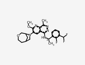 COc1nc2c(C)nnc(N[C@H](C)c3cccc(C(F)F)c3F)c2cc1N1CC2CCOCC1C2